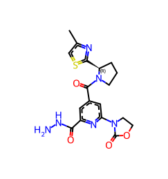 Cc1csc([C@H]2CCCN2C(=O)c2cc(C(=O)NN)nc(N3CCOC3=O)c2)n1